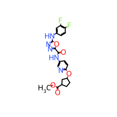 COC(=O)C1CCC(Oc2ccc(NC(=O)c3nnc(Nc4ccc(F)c(F)c4)o3)cn2)C1